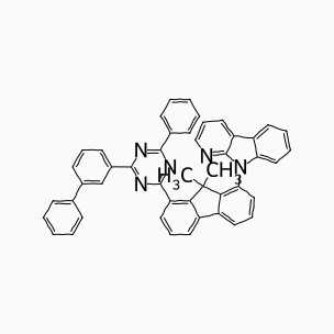 CC1(C)c2c(-c3nc(-c4ccccc4)nc(-c4cccc(-c5ccccc5)c4)n3)cccc2-c2cccc(-n3c4ccccc4c4cccnc43)c21